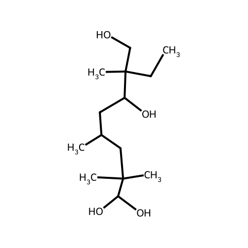 CCC(C)(CO)C(O)CC(C)CC(C)(C)C(O)O